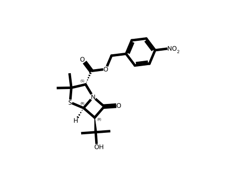 CC(C)(O)[C@@H]1C(=O)N2[C@@H]1SC(C)(C)[C@@H]2C(=O)OCc1ccc([N+](=O)[O-])cc1